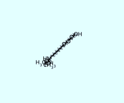 CC(C)(C)OC(=O)NCCCCCCCCCCCOCCOCCOCCO